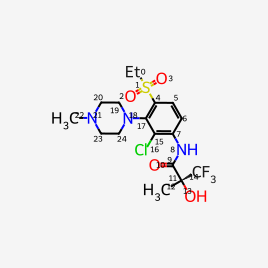 CCS(=O)(=O)c1ccc(NC(=O)[C@@](C)(O)C(F)(F)F)c(Cl)c1N1CCN(C)CC1